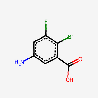 Nc1cc(F)c(Br)c(C(=O)O)c1